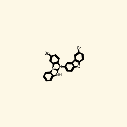 Brc1ccc2c(c1)N1c3ccccc3NC1N2c1ccc2oc3ccc(Br)cc3c2c1